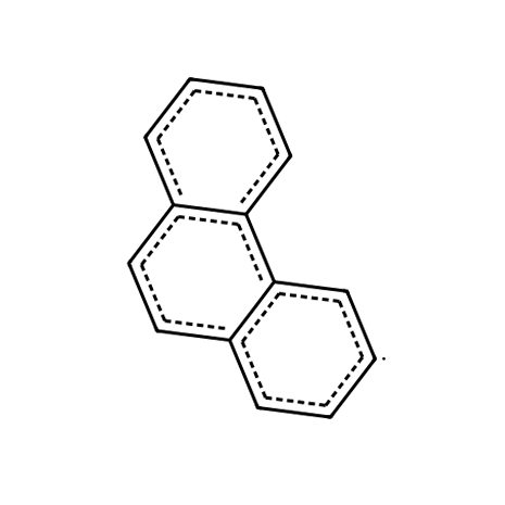 [c]1ccc2ccc3ccccc3c2c1